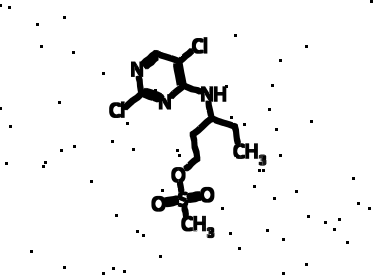 CCC(CCOS(C)(=O)=O)Nc1nc(Cl)ncc1Cl